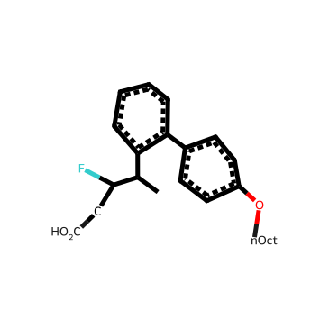 CCCCCCCCOc1ccc(-c2ccccc2C(C)C(F)CC(=O)O)cc1